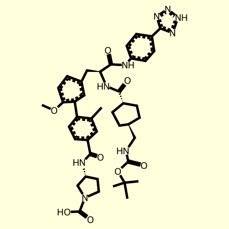 COc1ccc(C[C@H](NC(=O)[C@H]2CC[C@H](CNC(=O)OC(C)(C)C)CC2)C(=O)Nc2ccc(-c3nn[nH]n3)cc2)cc1-c1ccc(C(=O)N[C@@H]2CCN(C(=O)O)C2)cc1C